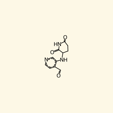 O=Cc1ccncc1NC1CCC(=O)NC1=O